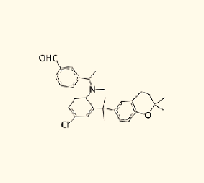 CC(c1cccc(C=O)c1)N(C)C1CC=C(Cl)C=C1C(C)(C)c1ccc2c(c1)CCC(C)(C)O2